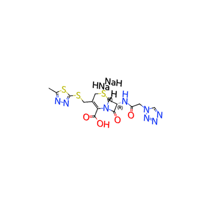 Cc1nnc(SCC2=C(C(=O)O)N3C(=O)[C@@H](NC(=O)Cn4cnnn4)[C@H]3SC2)s1.[NaH].[NaH]